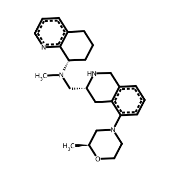 C[C@H]1CN(c2cccc3c2C[C@H](CN(C)[C@H]2CCCc4cccnc42)NC3)CCO1